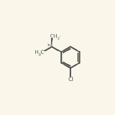 [CH2][C@H](C)c1cccc(Cl)c1